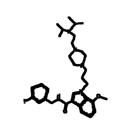 COc1cccc2c(C(=O)NCc3cccc(F)c3)cn(CCCN3CCN(CCN(C(C)C)C(C)C)CC3)c12